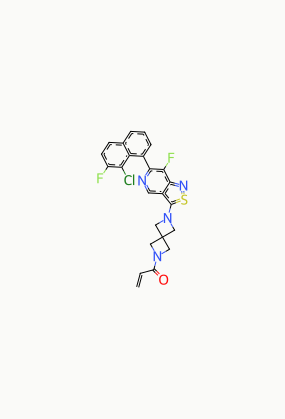 C=CC(=O)N1CC2(C1)CN(c1snc3c(F)c(-c4cccc5ccc(F)c(Cl)c45)ncc13)C2